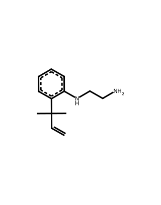 C=CC(C)(C)c1ccccc1NCCN